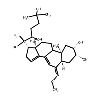 CO/N=C1\C=C2C3=CC[C@H](C(C)(O)[C@H](O)CCC(C)(C)O)[C@@]3(C)CCC2[C@@]2(C)C[C@H](O)[C@H](O)C[C@@H]12